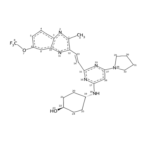 Cc1nc2ccc(OC(F)(F)F)cc2nc1/C=C/c1nc(N[C@H]2CC[C@H](O)CC2)cc(N2CCCC2)n1